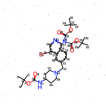 CC(C)(C)OC(=O)NC1CCN(Cc2ccc3c(N(C(=O)OC(C)(C)C)C(=O)OC(C)(C)C)ncc(Br)c3c2)CC1